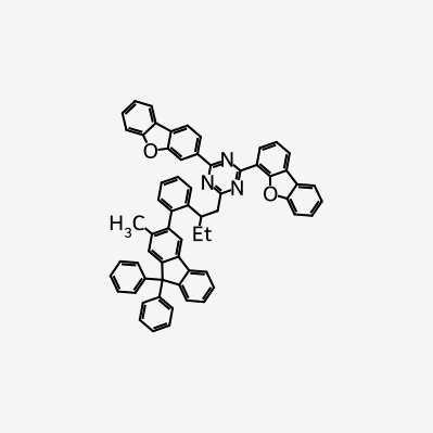 CCC(Cc1nc(-c2ccc3c(c2)oc2ccccc23)nc(-c2cccc3c2oc2ccccc23)n1)c1ccccc1-c1cc2c(cc1C)C(c1ccccc1)(c1ccccc1)c1ccccc1-2